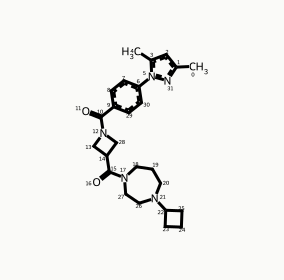 Cc1cc(C)n(-c2ccc(C(=O)N3CC(C(=O)N4CCCN(C5CCC5)CC4)C3)cc2)n1